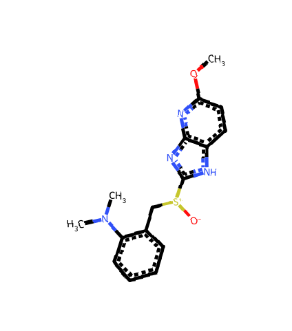 COc1ccc2[nH]c([S+]([O-])Cc3ccccc3N(C)C)nc2n1